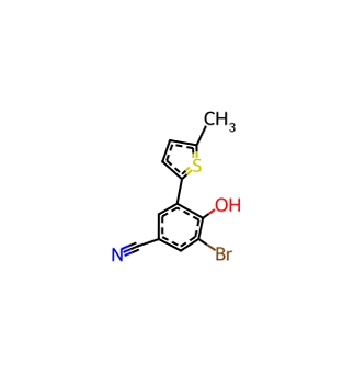 Cc1ccc(-c2cc(C#N)cc(Br)c2O)s1